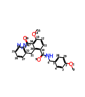 COc1ccc(CNC(=O)c2ccc(OC)c(C(N)=O)c2Cc2ccccc2)cc1